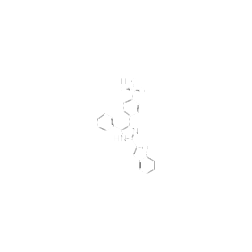 CS(=O)(=O)c1ccc(-c2nc(-c3cc4ccccc4o3)[nH]c2-c2ccccc2)cc1